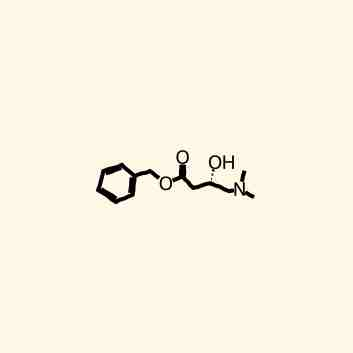 CN(C)C[C@@H](O)CC(=O)OCc1ccccc1